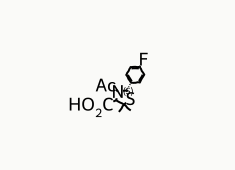 CC(=O)N1C(C(=O)O)C(C)(C)S[C@H]1c1ccc(F)cc1